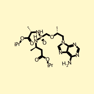 CC(C)OC(=O)C[C@@H](C)NP(=O)(CO[C@H](C)Cn1cnc2c(N)ncnc21)N[C@@H](C)C(=O)OC(C)C